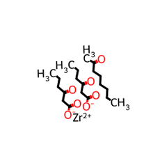 CCCC(=O)CC(=O)[O-].CCCC(=O)CC(=O)[O-].CCCCCCC(C)=O.[Zr+2]